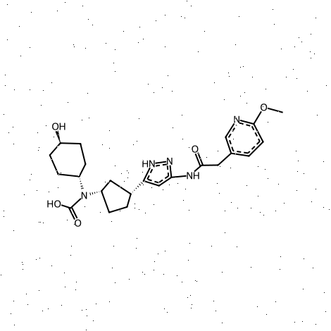 COc1ccc(CC(=O)Nc2cc([C@@H]3CC[C@H](N(C(=O)O)[C@H]4CC[C@H](O)CC4)C3)[nH]n2)cn1